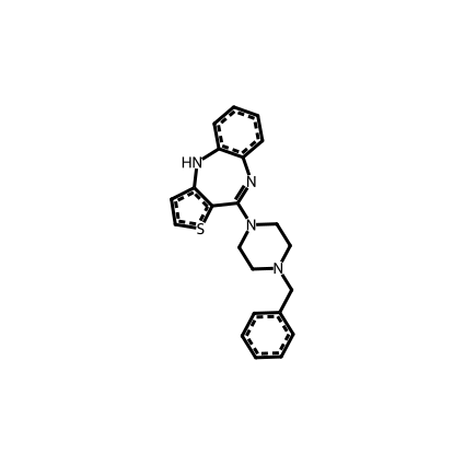 c1ccc(CN2CCN(C3=Nc4ccccc4Nc4ccsc43)CC2)cc1